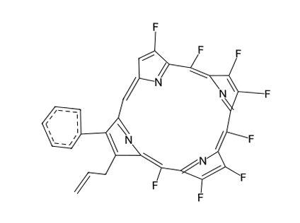 C=CCC1=C(c2ccccc2)C2=NC1=C(F)C1=NC(=C(F)C3=NC(=C(F)C4=NC(=C2)C=C4F)C(F)=C3F)C(F)=C1F